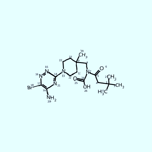 CC(C)(C)CC(=O)N(CC1(C)CCN(c2nnc(Br)c(N)n2)CC1)C(=O)O